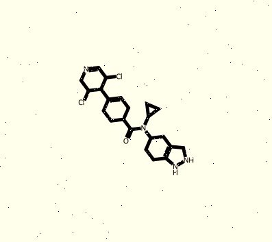 O=C(C1CC=C(C2C(Cl)C=NCC2Cl)CC1)N(C1CC1)C1CCC2=C(CNN2)C1